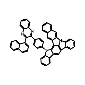 c1ccc2cc3c(cc2c1)c1c2c(cc4c5ccccc5n3c41)c1ccccc1n2-c1ccc(-c2nc3ccccc3nc2-c2cccc3ccccc23)cc1